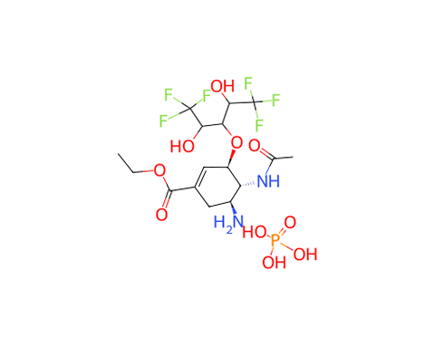 CCOC(=O)C1=C[C@@H](OC(C(O)C(F)(F)F)C(O)C(F)(F)F)[C@H](NC(C)=O)[C@@H](N)C1.O=P(O)(O)O